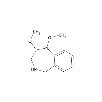 COC1CNCc2ccccc2N1OC